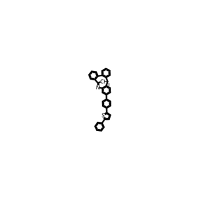 C/C1=N\c2cc(-c3ccc(-c4ccc(-c5ccccc5)s4)cc3)ccc2Cc2ccccc2-c2ccccc21